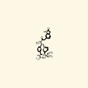 CN(C(=O)Cc1ccc2c(c1)NC(=O)C2)[C@H](CN1CCC(O[Si](C)(C)C(C)(C)C)C1)c1cccc(C(=O)NCC(F)(F)F)c1